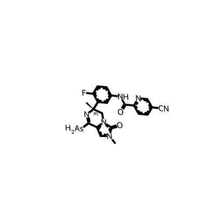 Cn1cc2n(c1=O)C[C@@](C)(c1cc(NC(=O)c3ccc(C#N)cn3)ccc1F)N=C2[AsH2]